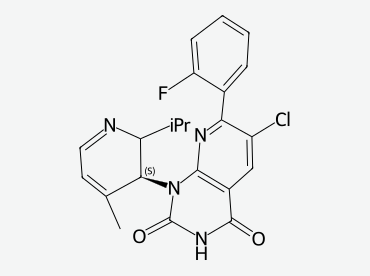 CC1=CC=NC(C(C)C)[C@H]1n1c(=O)[nH]c(=O)c2cc(Cl)c(-c3ccccc3F)nc21